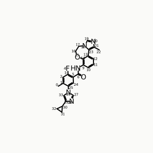 Cc1cc(F)c(C(=O)Nc2cccc3c2OCCn2cnc(C)c2-3)cc1-n1cnc(C2CC2)c1